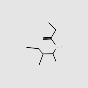 CCC(=O)NC(C)C(C)CC